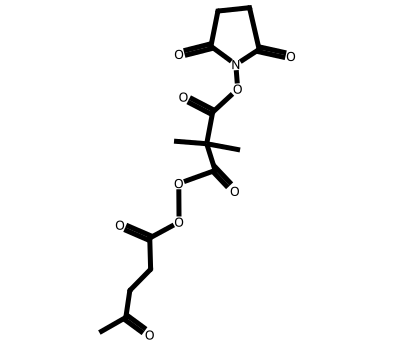 CC(=O)CCC(=O)OOC(=O)C(C)(C)C(=O)ON1C(=O)CCC1=O